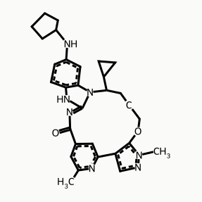 Cc1cc2cc(n1)-c1cnn(C)c1OCCCC(C1CC1)N1/C(=N/C2=O)Nc2ccc(NC3CCCC3)cc21